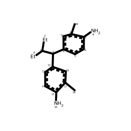 CCC(CC)C(c1ccc(N)c(C)c1)c1ccc(N)c(C)c1